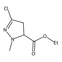 CCOC(=O)C1CC(Cl)=NN1C